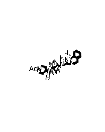 CC(=O)N1CCC(Nc2ncnc3c(NC[C@@H](N)CN4CCc5ccccc5C4)n[nH]c23)CC1